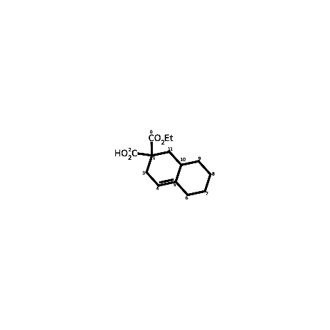 CCOC(=O)C1(C(=O)O)CC=C2CCCCC2C1